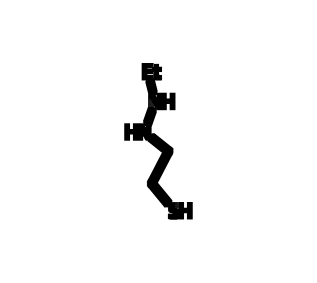 CCNNCCS